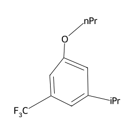 CCCOc1cc(C(C)C)cc(C(F)(F)F)c1